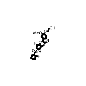 COc1cc2c(Oc3c(F)cc(NC(=O)c4ccccc4F)cc3F)ccnc2cc1OCCO